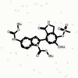 COc1cc(-c2cc3cc(NC(=O)OC(C)(C)C)ccc3n2C(=O)OC(C)(C)C)c2c(c1OS(C)(=O)=O)CNC2=O